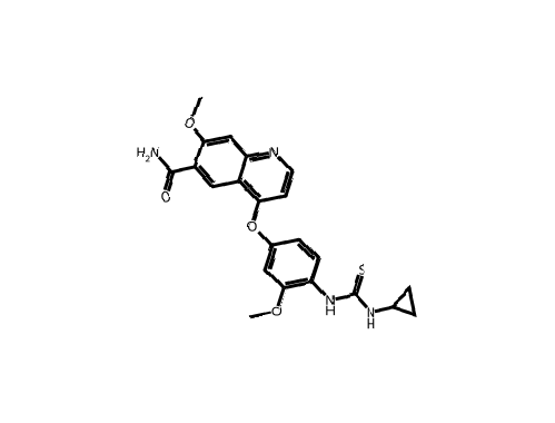 COc1cc(Oc2ccnc3cc(OC)c(C(N)=O)cc23)ccc1NC(=S)NC1CC1